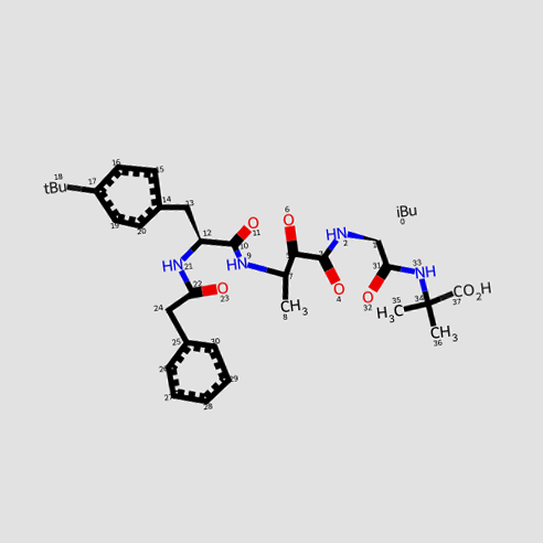 CC[C@H](C)[C@H](NC(=O)C(=O)C(C)NC(=O)[C@H](Cc1ccc(C(C)(C)C)cc1)NC(=O)Cc1ccccc1)C(=O)NC(C)(C)C(=O)O